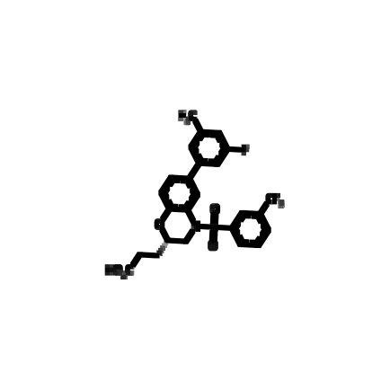 O=C(O)CC[C@H]1CN(S(=O)(=O)c2cccc(C(F)(F)F)c2)c2cc(-c3cc(F)cc(C(F)(F)F)c3)ccc2O1